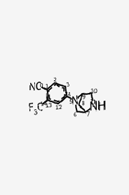 N#Cc1ccc(N2CC3CC2CN3)cc1C(F)(F)F